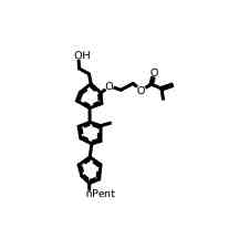 C=C(C)C(=O)OCCOc1cc(-c2ccc(-c3ccc(CCCCC)cc3)cc2C)ccc1CCO